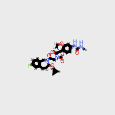 CNC(=O)Nc1ccc2c(c1)OCC[C@@]21OC(=O)N(CC(=O)N2Cc3ccc(F)cc3CCC2OC2CC2)C1=O